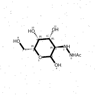 CC(=O)NN[C@H]1C(O)O[C@H](CO)[C@H](O)[C@@H]1O